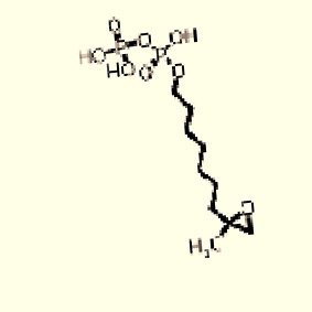 CC1(CCCCCCCOP(=O)(O)OP(=O)(O)O)CO1